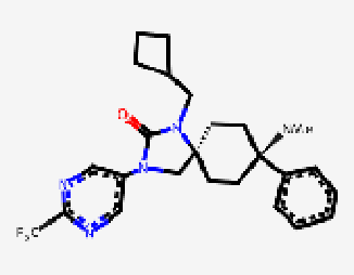 CN[C@]1(c2ccccc2)CC[C@]2(CC1)CN(c1cnc(C(F)(F)F)nc1)C(=O)N2CC1CCC1